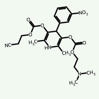 CC1=C(OC(=O)OCCC#N)C(c2cccc([N+](=O)[O-])c2)C(OC(=O)OCCN(C)C)=C(C)N1